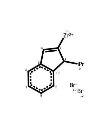 CC(C)C1[C]([Zr+2])=Cc2ccccc21.[Br-].[Br-]